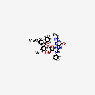 COc1ccc(C(OC[C@H]2O[C@@H](n3c(N=Nc4ccccc4)nc4c(=O)[nH]c(NCC(C)C)nc43)C[C@@H]2O)(c2ccccc2)c2ccc(OC)cc2)cc1